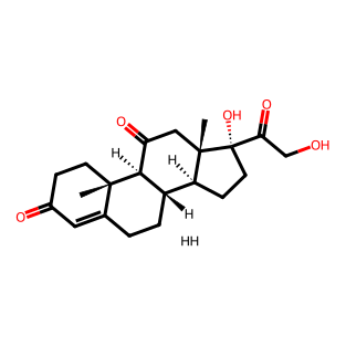 C[C@]12CCC(=O)C=C1CC[C@@H]1[C@@H]2C(=O)C[C@@]2(C)[C@H]1CC[C@]2(O)C(=O)CO.[HH]